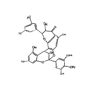 O=C1c2c(O)cc3c(c2OC(c2cc(O)cc(O)c2)C1O)C1c2c(O)cc(O)cc2OC(c2cc(O)c(O)c(O)c2)(O3)C1O